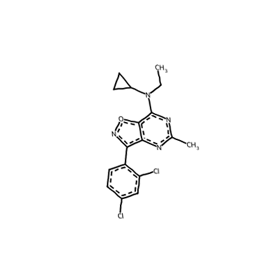 CCN(c1nc(C)nc2c(-c3ccc(Cl)cc3Cl)noc12)C1CC1